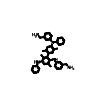 Cc1cc(N(c2ccccc2)c2cccc(CN)c2)c(C)cc1-c1c(C)c(Nc2ccccc2)cc(C)c1Nc1cccc(CN)c1